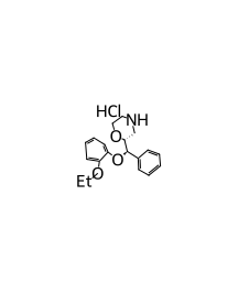 CCOc1ccccc1O[C@H](c1ccccc1)[C@H]1CNCCO1.Cl